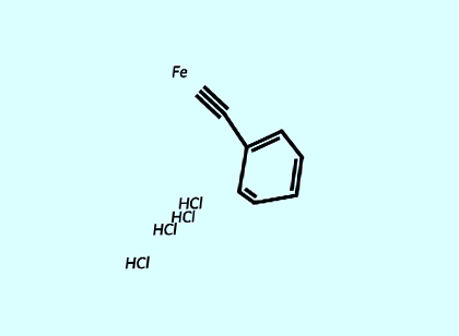 C#Cc1ccccc1.Cl.Cl.Cl.Cl.[Fe]